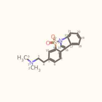 CN(C)CCc1ccc2c(c1)S(=O)(=O)n1cc-2c2ccccc21